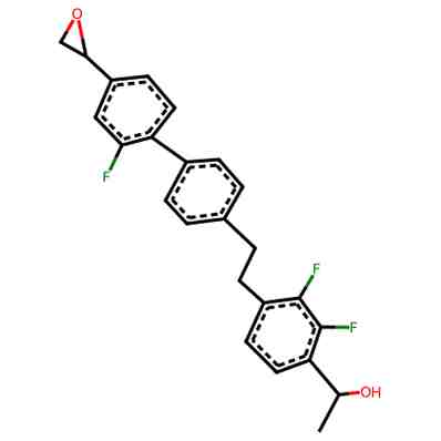 CC(O)c1ccc(CCc2ccc(-c3ccc(C4CO4)cc3F)cc2)c(F)c1F